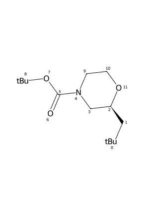 CC(C)(C)C[C@H]1CN(C(=O)OC(C)(C)C)CCO1